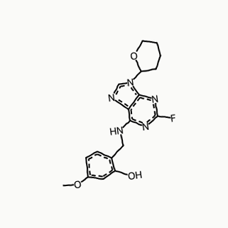 COc1ccc(CNc2nc(F)nc3c2ncn3C2CCCCO2)c(O)c1